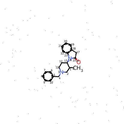 CC1CN(Cc2ccccc2)CCC1N1C(=O)Cc2ccccc21